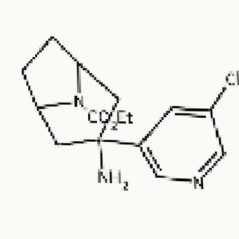 CCOC(=O)N1C2CCC1CC(N)(c1cncc(Cl)c1)C2